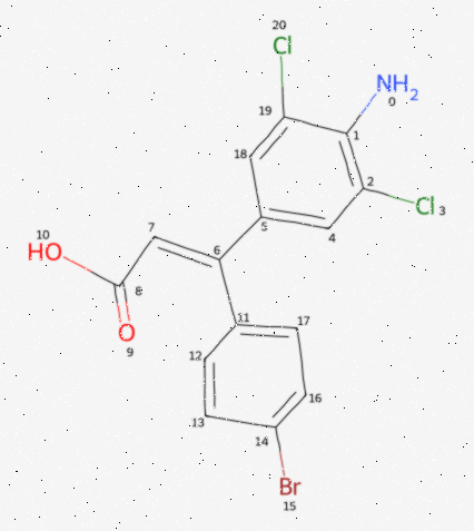 Nc1c(Cl)cc(/C(=C/C(=O)O)c2ccc(Br)cc2)cc1Cl